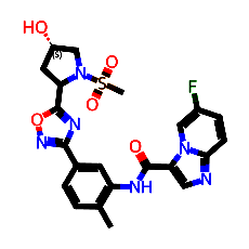 Cc1ccc(-c2noc(C3C[C@H](O)CN3S(C)(=O)=O)n2)cc1NC(=O)c1cnc2ccc(F)cn12